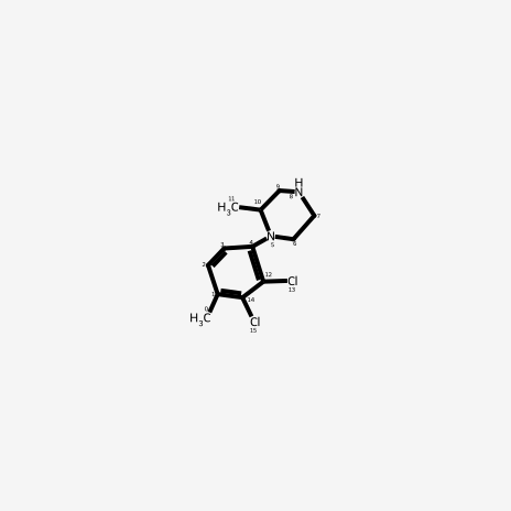 Cc1ccc(N2CCNCC2C)c(Cl)c1Cl